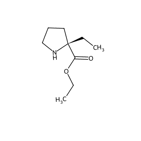 CCOC(=O)[C@@]1(CC)CCCN1